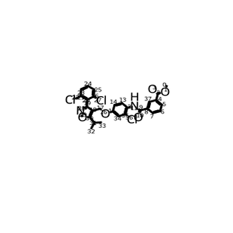 COC(=O)c1cccc(C(=O)Nc2ccc(OCc3c(-c4c(Cl)cccc4Cl)noc3C(C)C)cc2Cl)c1